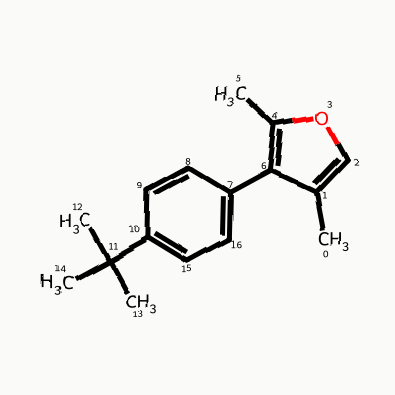 Cc1coc(C)c1-c1ccc(C(C)(C)C)cc1